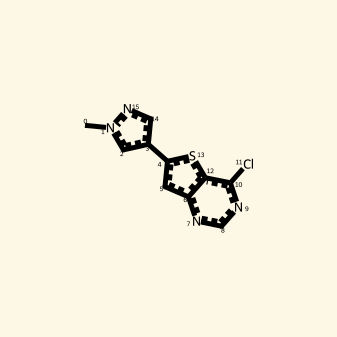 Cn1cc(-c2cc3ncnc(Cl)c3s2)cn1